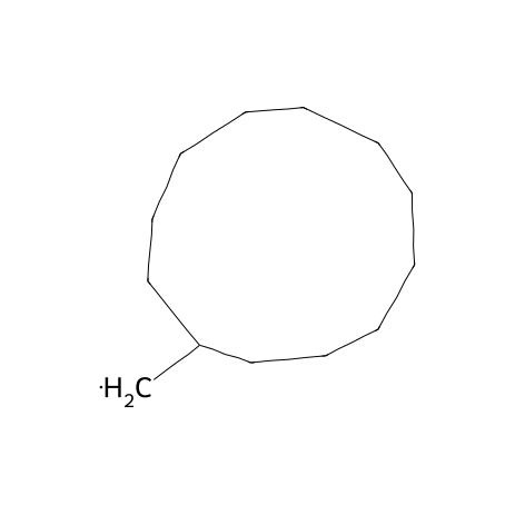 [CH2]C1CCCCCCCCCCC1